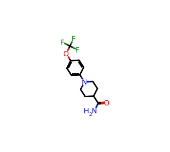 NC(=O)C1CCN(c2ccc(OC(F)(F)F)cc2)CC1